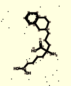 NC(CCCCB(O)O)(CCCN1CCc2ccccc2C1)C(=O)O